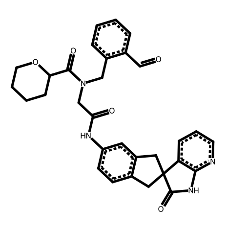 O=Cc1ccccc1CN(CC(=O)Nc1ccc2c(c1)CC1(C2)C(=O)Nc2ncccc21)C(=O)C1CCCCO1